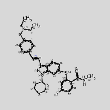 CCN(CC)Cc1ccc(/C=C/c2nn(C3CCCCO3)c3cc(Sc4cc(F)ccc4C(=O)NC)ccc23)nc1